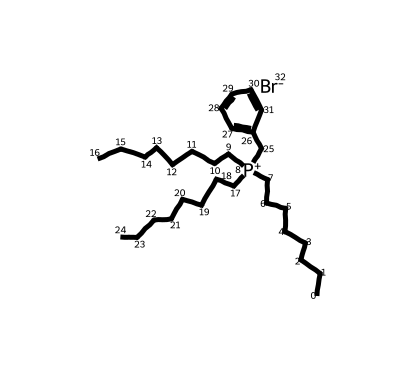 CCCCCCCC[P+](CCCCCCCC)(CCCCCCCC)Cc1ccccc1.[Br-]